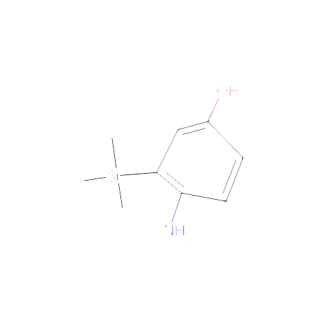 C[Si](C)(C)c1cc(O)ccc1N